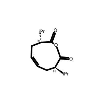 CC(C)[C@H]1CC=CC[C@H](C(C)C)C(=O)OC1=O